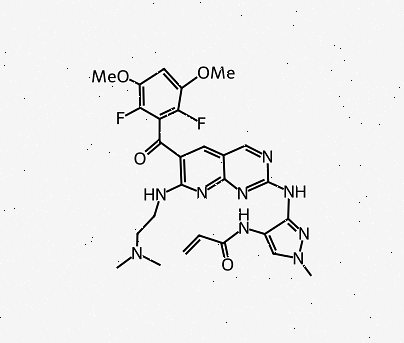 C=CC(=O)Nc1cn(C)nc1Nc1ncc2cc(C(=O)c3c(F)c(OC)cc(OC)c3F)c(NCCN(C)C)nc2n1